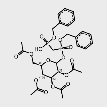 CC(=O)OC[C@H]1OC(OP(=O)(CP(=O)(O)OCc2ccccc2)OCc2ccccc2)[C@@H](OC(C)=O)[C@@H](OC(C)=O)[C@@H]1OC(C)=O